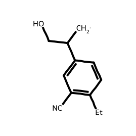 [CH2]C(CO)c1ccc(CC)c(C#N)c1